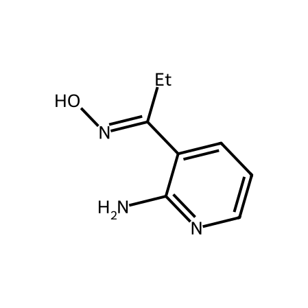 CCC(=NO)c1cccnc1N